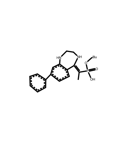 CCC(C)OP(=O)(O)C(C)=C1NCCNc2cc(-c3ccccc3)ccc21